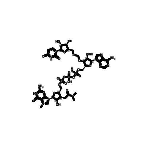 CO[C@@H]1[C@H](OCOC[C@H]2O[C@@H](n3ccc(=O)[nH]c3=O)[C@H](O)[C@@H]2O)[C@@H](COP(=O)(O)OP(=O)(O)OP(=O)([O-])OC[C@H]2O[C@@H](n3c[n+](C)c4c(=O)[nH]c(N)nc43)[C@H](O)[C@@H]2CC(=O)N(C)C)O[C@H]1n1cnc2c(N)ncnc21